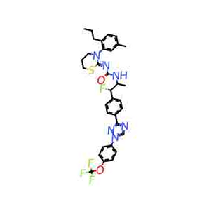 CCCc1ccc(C)cc1N1CCCS/C1=N\C(=O)NC(C)C(F)c1ccc(-c2ncn(-c3ccc(OC(F)(F)F)cc3)n2)cc1